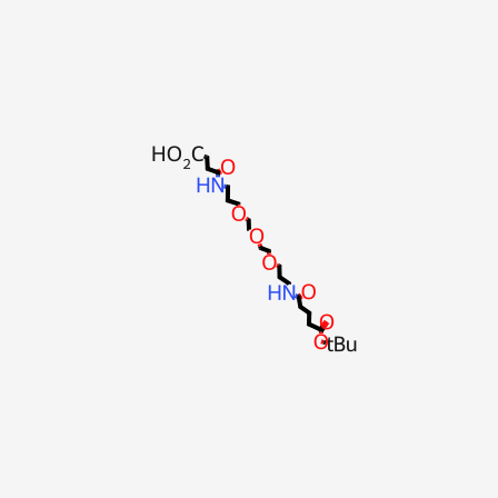 CC(C)(C)OC(=O)CCCC(=O)NCCCOCCOCCOCCCNC(=O)CCC(=O)O